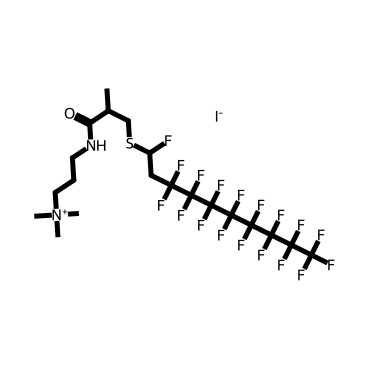 CC(CSC(F)CC(F)(F)C(F)(F)C(F)(F)C(F)(F)C(F)(F)C(F)(F)C(F)(F)C(F)(F)F)C(=O)NCCC[N+](C)(C)C.[I-]